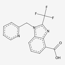 O=C(O)c1cccc2c1nc(C(F)(F)F)n2Cc1ccccn1